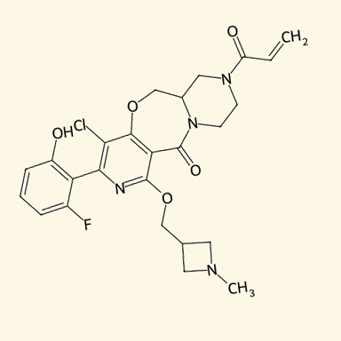 C=CC(=O)N1CCN2C(=O)c3c(OCC4CN(C)C4)nc(-c4c(O)cccc4F)c(Cl)c3OCC2C1